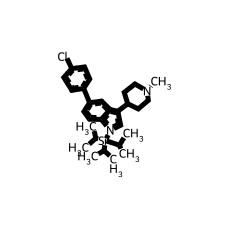 CC(C)[Si](C(C)C)(C(C)C)n1cc(C2CCN(C)CC2)c2cc(-c3ccc(Cl)cc3)ccc21